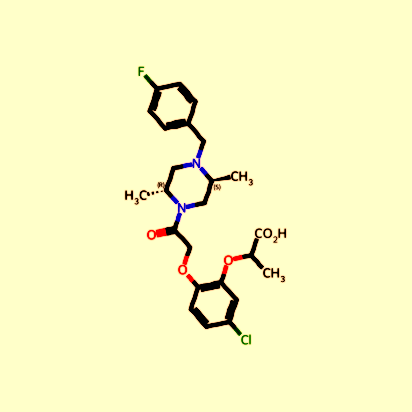 CC(Oc1cc(Cl)ccc1OCC(=O)N1C[C@H](C)N(Cc2ccc(F)cc2)C[C@H]1C)C(=O)O